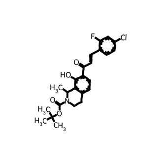 CC1c2c(ccc(C(=O)/C=C/c3ccc(Cl)cc3F)c2O)CCN1C(=O)OC(C)(C)C